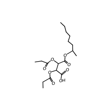 CCCCCCC(C)OC(=O)C(OC(=O)CC)C(OC(=O)CC)C(=O)O